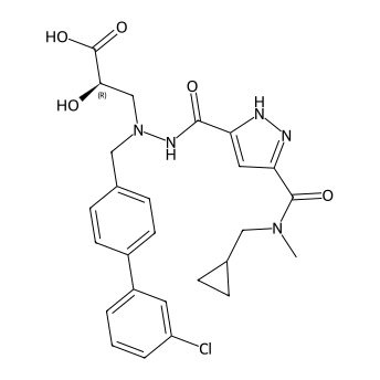 CN(CC1CC1)C(=O)c1cc(C(=O)NN(Cc2ccc(-c3cccc(Cl)c3)cc2)C[C@@H](O)C(=O)O)[nH]n1